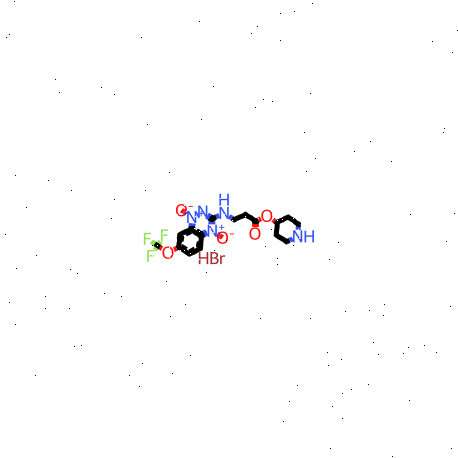 Br.O=C(CCNc1n[n+]([O-])c2cc(OC(F)(F)F)ccc2[n+]1[O-])OC1CCNCC1